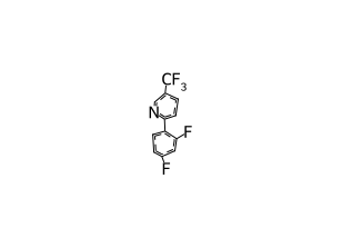 Fc1ccc(-c2ccc(C(F)(F)F)cn2)c(F)c1